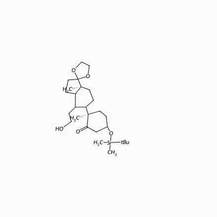 CC(C)(C)[Si](C)(C)OC1CC[C@](C)(C2CC[C@@]3(C)C(CCC34OCCO4)C2CCO)C(=O)C1